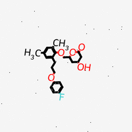 Cc1cc(C)c(OCC2CC(O)CC(=O)O2)c(CCCOc2ccc(F)cc2)c1